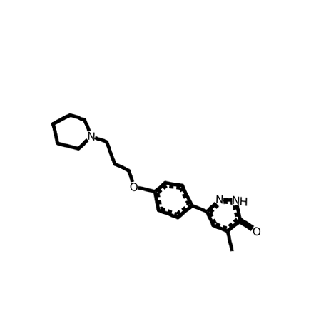 Cc1cc(-c2ccc(OCCCN3CCCCC3)cc2)n[nH]c1=O